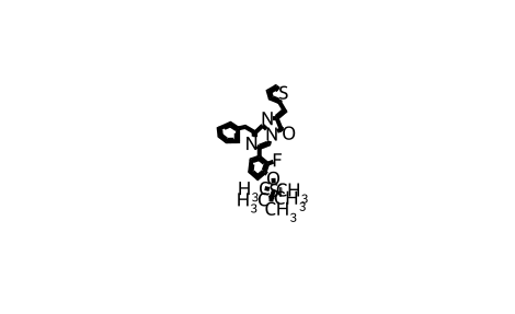 CC(C)(C)[Si](C)(C)Oc1cccc(C2=CN3C(=O)/C(=C/c4cccs4)N=C3C(Cc3ccccc3)=N2)c1F